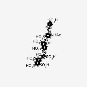 CC(=O)Nc1cc(N=Nc2c(S(=O)(=O)O)cc3c(S(=O)(=O)O)c(N=Nc4c(C(=O)O)nn(-c5cc(S(=O)(=O)O)c6cc(S(=O)(=O)O)cc(S(=O)(=O)O)c6c5)c4O)ccc3c2O)c(S(=O)(=O)O)cc1N=Nc1nc2ccc(S(=O)(=O)O)cc2s1